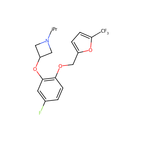 CC(C)N1CC(Oc2cc(F)ccc2OCc2ccc(C(F)(F)F)o2)C1